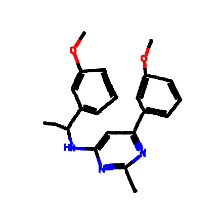 COc1cccc(-c2cc(NC(C)c3cccc(OC)c3)nc(C)n2)c1